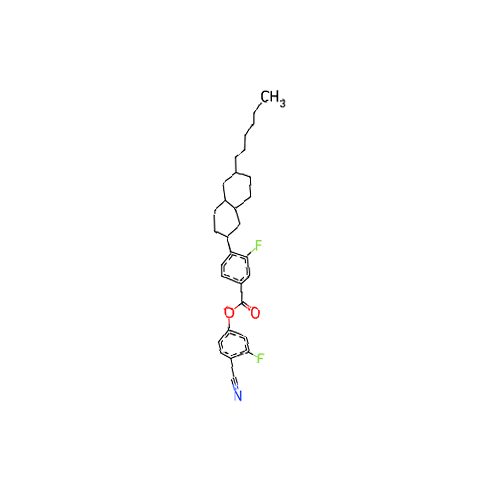 CCCCCCC1CCC2CC(c3ccc(C(=O)Oc4ccc(C#N)c(F)c4)cc3F)CCC2C1